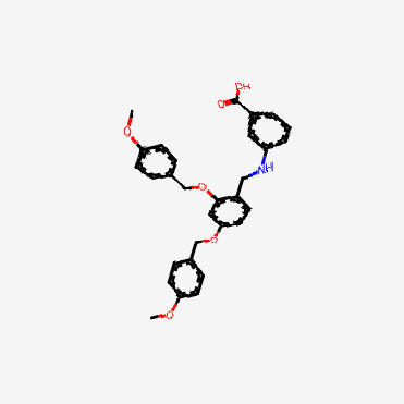 COc1ccc(COc2ccc(CNc3cccc(C(=O)O)c3)c(OCc3ccc(OC)cc3)c2)cc1